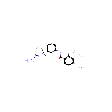 COc1ccc(C(=O)Nc2cccc(C3(C)CCSC(N)=N3)c2)c(OC)c1OC